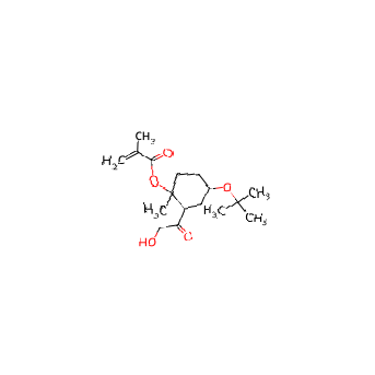 C=C(C)C(=O)OC1(C)CCC(OC(C)(C)C)CC1C(=O)CO